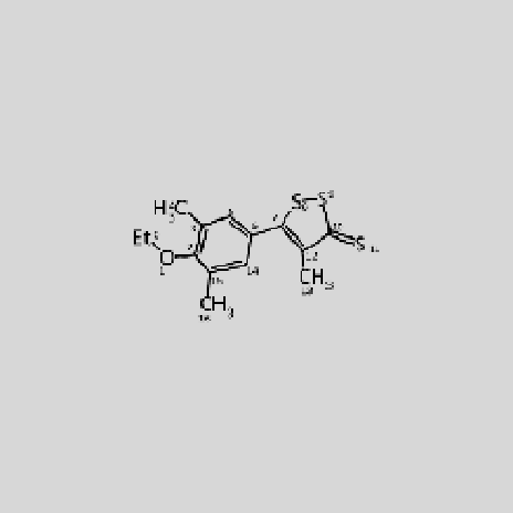 CCOc1c(C)cc(-c2ssc(=S)c2C)cc1C